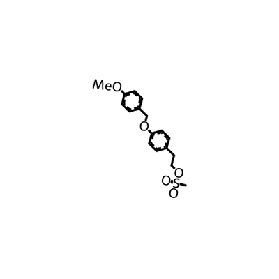 COc1ccc(COc2ccc(CCOS(C)(=O)=O)cc2)cc1